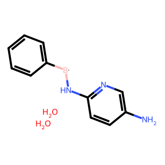 Nc1ccc(N[B]c2ccccc2)nc1.O.O